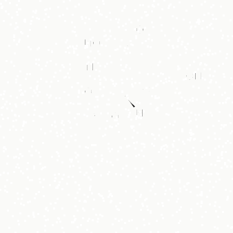 OCC1O[C@@H]2OB(c3ccc4ccccc4c3)O[C@H]2C(O)[C@@H]1O